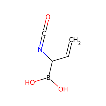 C=CC(N=C=O)B(O)O